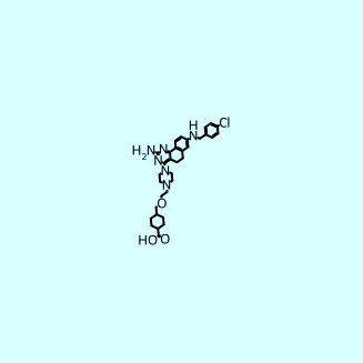 Nc1nc2c(c(N3CCN(CCOCC4CCC(C(=O)O)CC4)CC3)n1)CCc1cc(NCc3ccc(Cl)cc3)ccc1-2